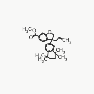 C=CCC1(c2ccc3c(c2)C(C)(C)CCC3(C)C)COc2cc(C(=O)OC)ccc21